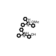 COc1ccccc1-c1nc(-c2ccccc2)c(-c2ccccc2)[nH]1.Oc1cccc(-c2nc(-c3ccccc3)c(-c3ccccc3)[nH]2)c1